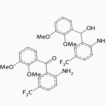 COc1cccc(C(=O)c2cc(C(F)(F)F)ccc2N)c1OC.COc1cccc(C(O)c2cc(C(F)(F)F)ccc2N)c1OC